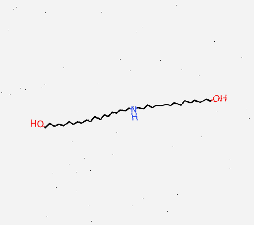 OCCCCCCCCCCCCCCCCCCCCNCCCCCCCCCCCCCCCCO